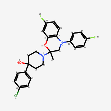 CC1(N2CCC(O)(c3ccc(Cl)cc3)CC2)CN(c2ccc(F)cc2)c2ccc(F)cc2O1